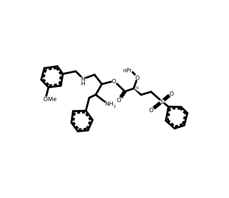 CCCO[C@@H](CCS(=O)(=O)c1ccccc1)C(=O)OC(CNCc1cccc(OC)c1)C(N)Cc1ccccc1